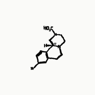 O=C(O)N1CCN2CCc3cc(Br)ccc3[C@@H]2C1